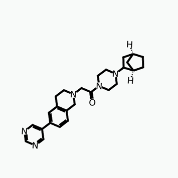 O=C(CN1CCc2cc(-c3cncnc3)ccc2C1)N1CCN(C2C[C@H]3CC[C@@H]2C3)CC1